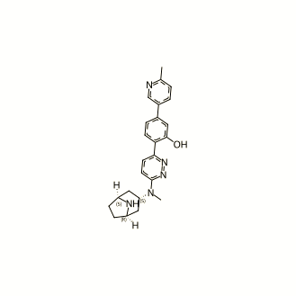 Cc1ccc(-c2ccc(-c3ccc(N(C)[C@@H]4C[C@H]5CC[C@@H](C4)N5)nn3)c(O)c2)cn1